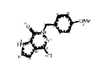 COc1ccc(Cn2nc(Cl)c3cc[nH]c3c2=O)cc1